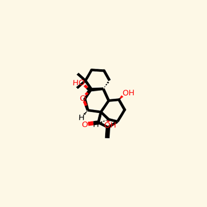 C=C1C(=O)C23C([C@@H](O)CC1[C@H]2O)[C@]12CCCC(C)(C)C1C[C@H]3OC2O